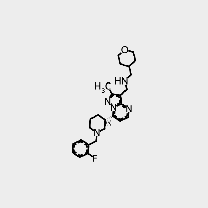 Cc1nn2c([C@H]3CCCN(Cc4ccccc4F)C3)ccnc2c1CNCC1CCOCC1